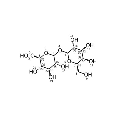 O=C(O)[C@H]1OC(OC2O[C@H](CO)[C@H](O)[C@H](O)[C@H]2O)[C@H](O)[C@@H](O)[C@@H]1O